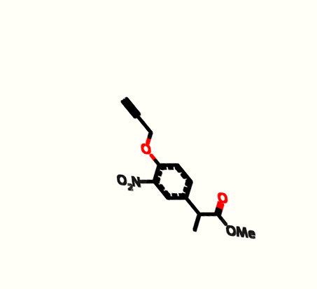 C#CCOc1ccc(C(C)C(=O)OC)cc1[N+](=O)[O-]